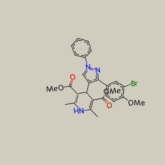 COC(=O)C1=C(C)NC(C)=C(C(=O)OC)C1c1cn(-c2ccccc2)nc1-c1ccc(OC)c(Br)c1